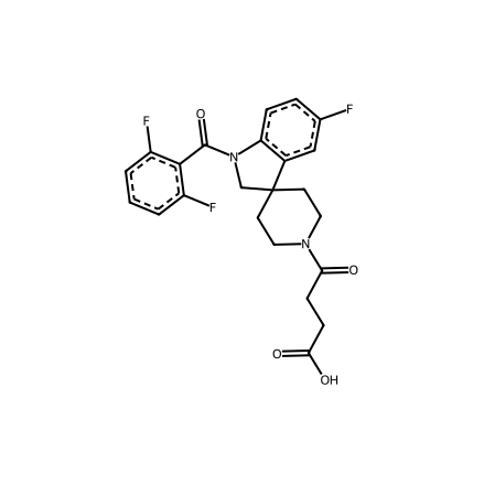 O=C(O)CCC(=O)N1CCC2(CC1)CN(C(=O)c1c(F)cccc1F)c1ccc(F)cc12